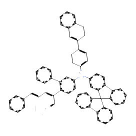 C=C/C(=C\C=C\c1ccccc1)c1ccc(N(C2=CC=C(C3=Cc4ccccc4CC3)CC2)c2ccc3c(c2)C2(c4ccccc4-c4ccccc42)c2ccccc2-3)cc1-c1ccccc1